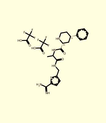 CC(NC(=O)[C@H]1C[C@@H](c2ccccc2)CCN1)C(=O)NCc1ccc(C(=N)N)s1.O=C(O)C(F)(F)F.O=C(O)C(F)(F)F